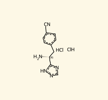 Cl.Cl.N#Cc1ccc(C[C@@H](N)c2ncn[nH]2)cc1